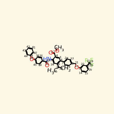 COC(=O)c1cc(-c2ccc(COc3cccc(C(F)(F)F)c3)cc2)c(C(C)C)cc1NC(=O)c1ccc(Oc2ccccc2)cc1